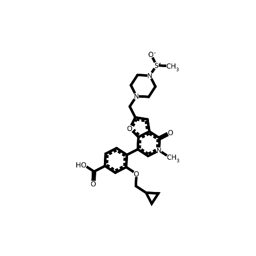 Cn1cc(-c2ccc(C(=O)O)cc2OCC2CC2)c2oc(CN3CCN([S+](C)[O-])CC3)cc2c1=O